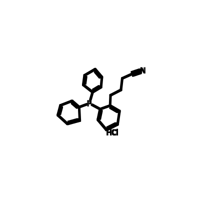 Cl.N#CCCCc1ccccc1P(c1ccccc1)c1ccccc1